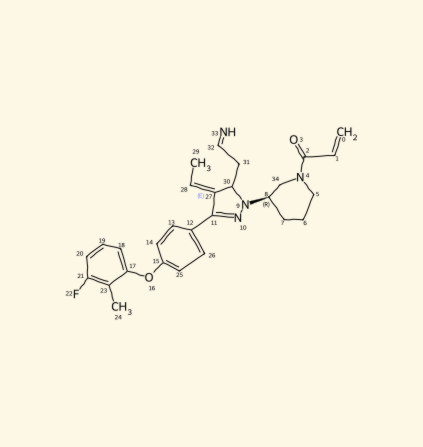 C=CC(=O)N1CCC[C@@H](N2N=C(c3ccc(Oc4cccc(F)c4C)cc3)/C(=C/C)C2CC=N)C1